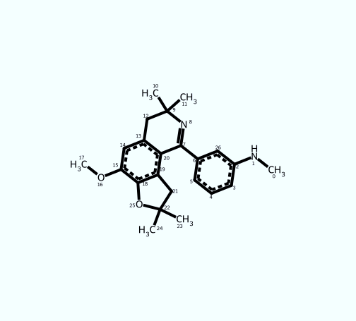 CNc1cccc(C2=NC(C)(C)Cc3cc(OC)c4c(c32)CC(C)(C)O4)c1